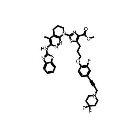 COC(=O)c1nc(N2CCCc3c2nnc(Nc2nc4ccccc4s2)c3C)sc1CCCOc1ccc(C#CCN2CCC(F)(F)CC2)cc1F